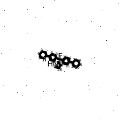 FC(c1ccc(C2CCCCC2)cc1)(c1ccc(C2CCCCC2)cc1)[C@H]1CCCN1